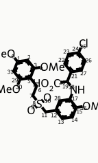 COc1cc(OC)c(CCS(=O)(=O)Cc2ccc(OC)c(NC(C(=O)O)c3ccc(Cl)cc3)c2)c(OC)c1